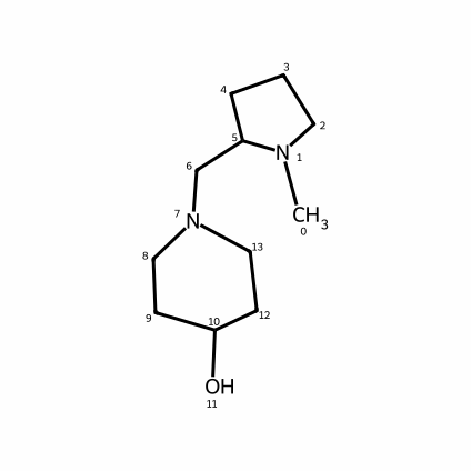 CN1CCCC1CN1CCC(O)CC1